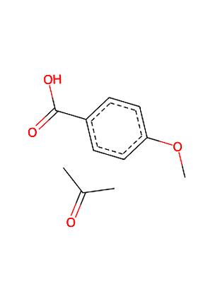 CC(C)=O.COc1ccc(C(=O)O)cc1